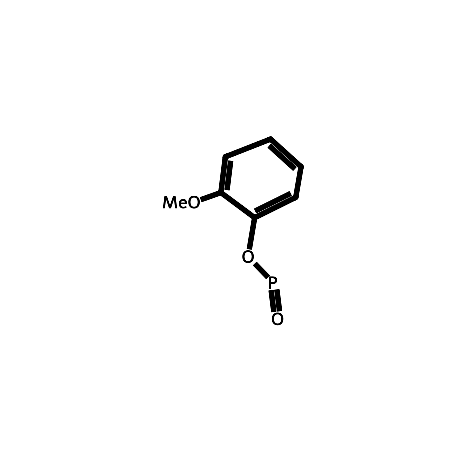 COc1ccccc1OP=O